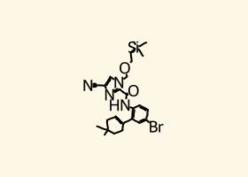 CC1(C)CC=C(c2cc(Br)ccc2NC(=O)c2nc(C#N)cn2COCC[Si](C)(C)C)CC1